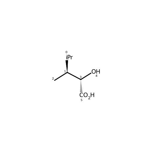 CC(C)[C@H](C)[C@H](O)C(=O)O